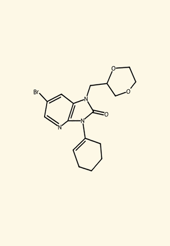 O=c1n(CC2COCCO2)c2cc(Br)cnc2n1C1=CCCCC1